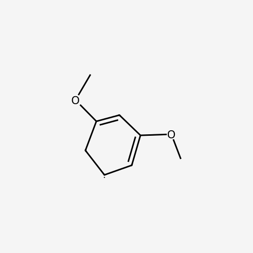 COC1=C[CH]CC(OC)=C1